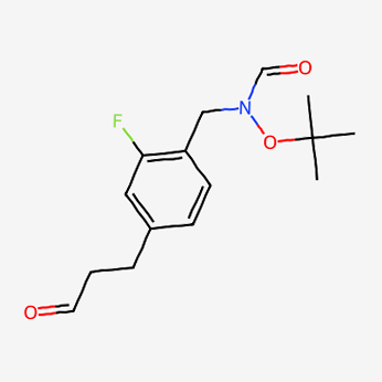 CC(C)(C)ON(C=O)Cc1ccc(CCC=O)cc1F